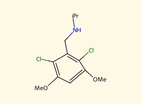 COc1cc(OC)c(Cl)c(CNC(C)C)c1Cl